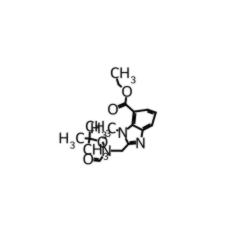 CCOC(=O)c1cccc2nc(CN(C=O)OC(C)(C)C)n(C)c12